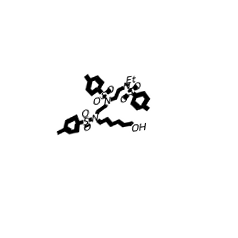 CCN(CCN(CCN(CCCCCCO)S(=O)(=O)c1ccc(C)cc1)S(=O)(=O)c1ccc(C)cc1)S(=O)(=O)c1ccc(C)cc1